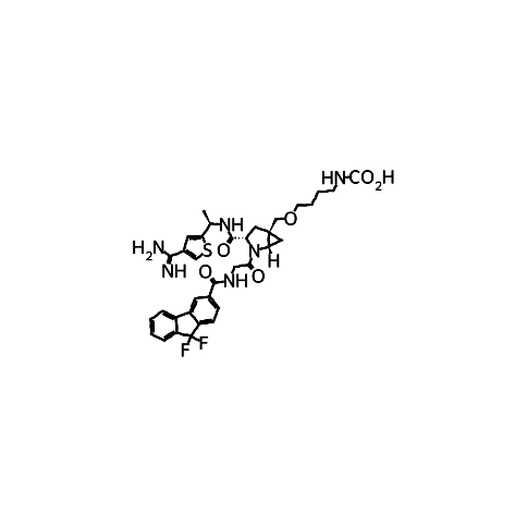 C[C@@H](NC(=O)[C@@H]1C[C@]2(COCCCCNC(=O)O)C[C@@H]2N1C(=O)CNC(=O)c1ccc2c(c1)-c1ccccc1C2(F)F)c1cc(C(=N)N)cs1